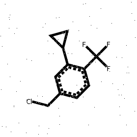 FC(F)(F)c1ccc(CCl)cc1C1CC1